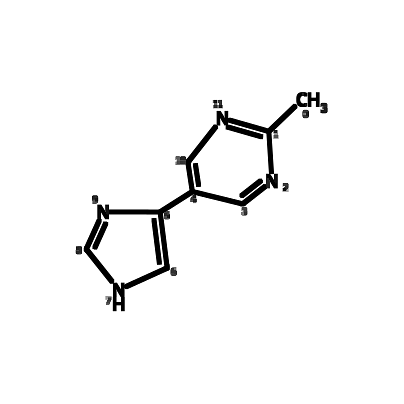 Cc1ncc(-c2c[nH]cn2)cn1